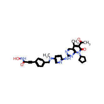 CC(=O)c1c(C)c2cnc(Nc3ccc(N(C)Cc4ccc(C#CC(=O)NO)cc4)cn3)nc2n(C2CCCC2)c1=O